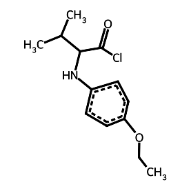 CCOc1ccc(NC(C(=O)Cl)C(C)C)cc1